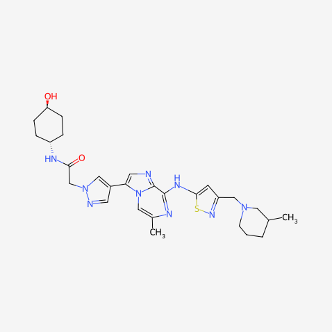 Cc1cn2c(-c3cnn(CC(=O)N[C@H]4CC[C@H](O)CC4)c3)cnc2c(Nc2cc(CN3CCCC(C)C3)ns2)n1